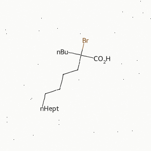 CCCCCCCCCCCC(Br)(CCCC)C(=O)O